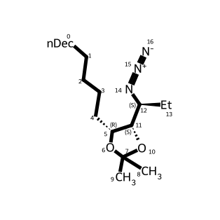 CCCCCCCCCCCCCC[C@H]1OC(C)(C)O[C@H]1[C@H](CC)N=[N+]=[N-]